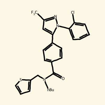 CCCCN(Cc1cccs1)C(=O)c1ccc(-c2cc(C(F)(F)F)nn2-c2ccccc2Cl)cc1